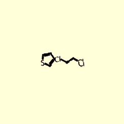 ClCCCl.c1ccsc1